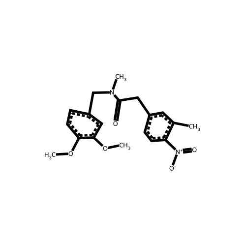 COc1ccc(CN(C)C(=O)Cc2ccc([N+](=O)[O-])c(C)c2)cc1OC